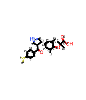 CSc1ccc(C(=O)C2CNC[C@@H]2c2cc(C)c(OC(C)(C)C(=O)O)c(C)c2)cc1